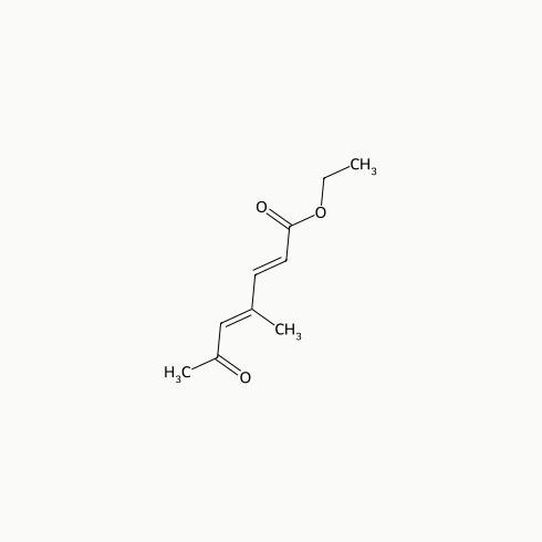 CCOC(=O)/C=C/C(C)=C/C(C)=O